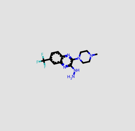 CN1CCN(c2nc3ccc(C(F)(F)F)cc3nc2NN)CC1